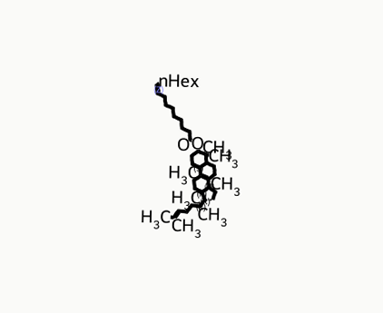 CCCCCC/C=C\CCCCCCCC(=O)OC1CC[C@]2(C)C3=C(CCC2C1(C)C)[C@]1(C)CC[C@H]([C@H](C)CCC=C(C)C)[C@@]1(C)CC3